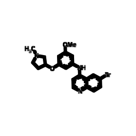 COc1cc(Nc2ccnc3ccc(Br)cc23)cc(OC2CCN(C)C2)c1